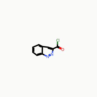 O=C(Cl)c1cc2ccccc2nn1